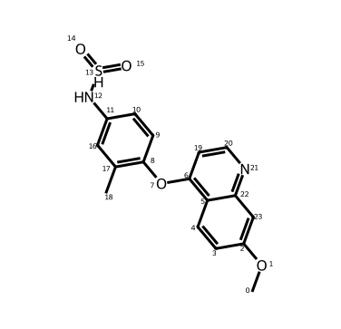 COc1ccc2c(Oc3ccc(N[SH](=O)=O)cc3C)ccnc2c1